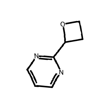 c1cnc(C2CCO2)nc1